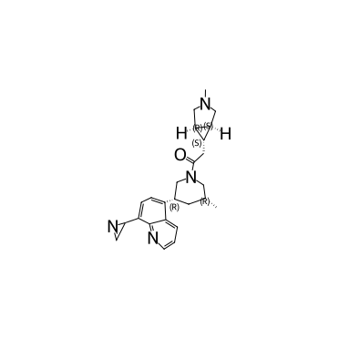 C[C@@H]1C[C@H](c2ccc(C3C=N3)c3ncccc23)CN(C(=O)C[C@@H]2[C@H]3CN(C)C[C@@H]23)C1